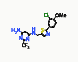 COc1ccc(-c2ncc(CNc3cc(N)nc(C(F)(F)F)n3)s2)cc1Cl